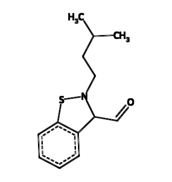 CC(C)CCN1Sc2ccccc2C1C=O